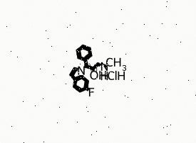 CNC[C@@H](O)[C@H](c1ccccc1)n1ccc2ccc(F)cc21.Cl